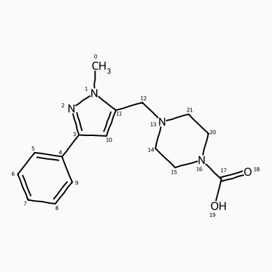 Cn1nc(-c2ccccc2)cc1CN1CCN(C(=O)O)CC1